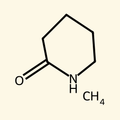 C.O=C1CCCCN1